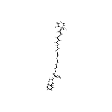 CC(OCCCCCCCCCCCCCCCC[N+]1(C)CCCCC1)C1COc2ccccc2O1